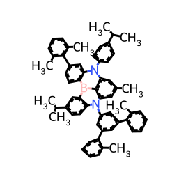 Cc1cc2c3c(c1)N(c1ccc(C(C)C)cc1)c1cc(-c4c(C)cccc4C)ccc1B3c1cc(C(C)C)ccc1N2c1cc(-c2ccccc2C)cc(-c2ccccc2C)c1